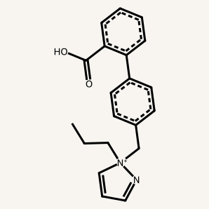 CCC[N+]1(Cc2ccc(-c3ccccc3C(=O)O)cc2)C=CC=N1